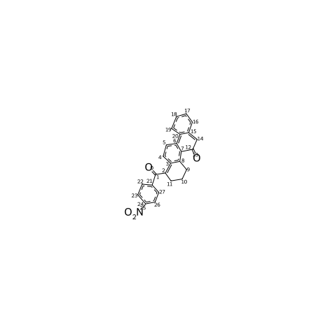 O=C(C1=c2ccc3c(c2CCC1)C(=O)C=c1ccccc1=3)c1ccc([N+](=O)[O-])cc1